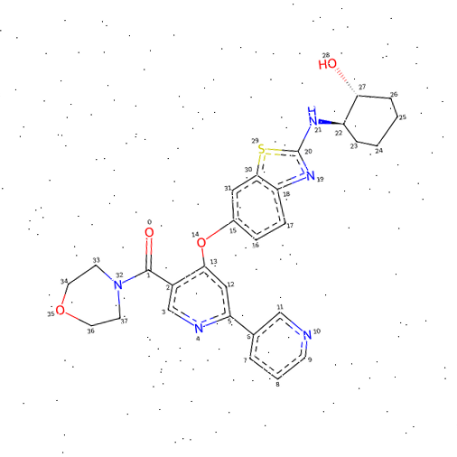 O=C(c1cnc(-c2cccnc2)cc1Oc1ccc2nc(N[C@@H]3CCCC[C@H]3O)sc2c1)N1CCOCC1